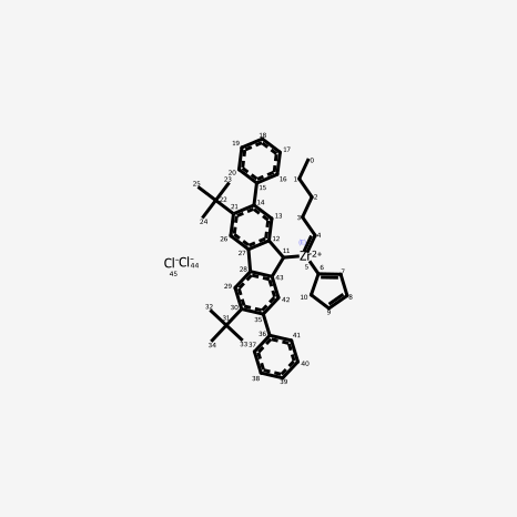 CCCC/[CH]=[Zr+2](/[C]1=CC=CC1)[CH]1c2cc(-c3ccccc3)c(C(C)(C)C)cc2-c2cc(C(C)(C)C)c(-c3ccccc3)cc21.[Cl-].[Cl-]